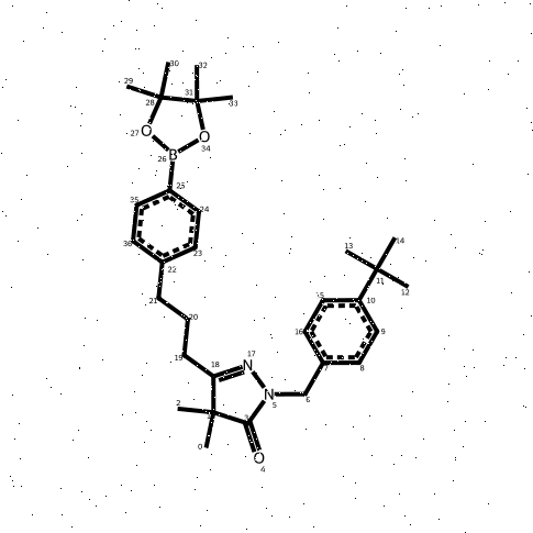 CC1(C)C(=O)N(Cc2ccc(C(C)(C)C)cc2)N=C1CCCc1ccc(B2OC(C)(C)C(C)(C)O2)cc1